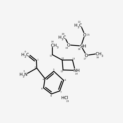 C=CC(N)c1ccccc1.CCC1CNC1.CO[SiH](OC)OC.Cl